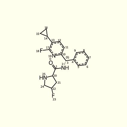 O=C(N[C@@H](c1ccccc1)c1ccc(C2CC2)c(F)n1)C1CC(F)CN1